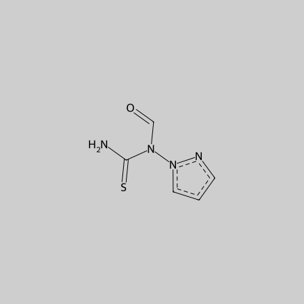 NC(=S)N(C=O)n1cccn1